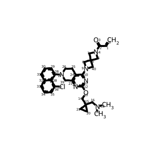 C=CC(=O)N1CC2(C1)CN(c1nc(OCC3(CN(C)C)CC3)nc3c1CCN(c1cccc4cccc(Cl)c14)C3)C2